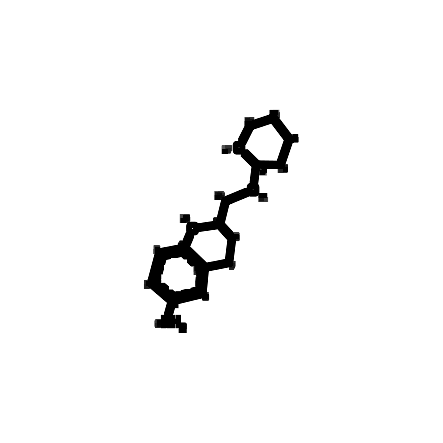 Nc1ccc2c(c1)CCC(COC1CCCCO1)O2